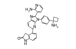 Nc1ncccc1-c1nc2ccc(-c3cccc4c3CC(=O)N4)nc2n1-c1ccc(C2(N)CCC2)cc1